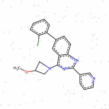 COC1CN(c2nc(-c3cccnc3)nc3ccc(-c4ccccc4F)cc23)C1